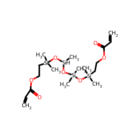 C=CC(=O)OCC[Si](C)(C)O[SiH](C)O[Si](C)(C)O[Si](C)(C)CCOC(=O)C=C